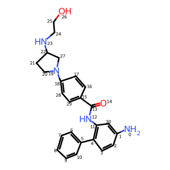 Nc1ccc(-c2ccccc2)c(NC(=O)c2ccc(N3CCC(NCCO)C3)cc2)c1